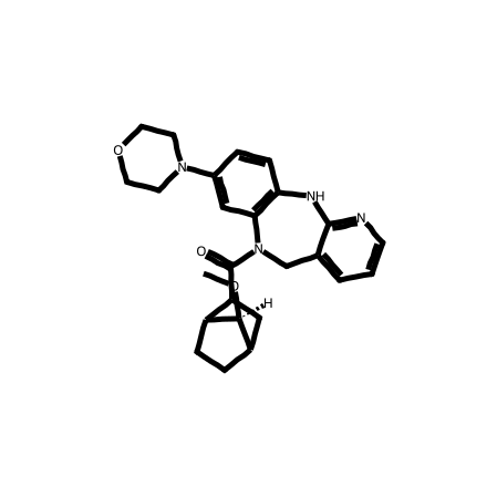 CO[C@H]1C2CCC1C(C(=O)N1Cc3cccnc3Nc3ccc(N4CCOCC4)cc31)C2